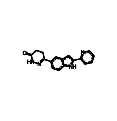 O=C1CCC(c2ccc3[nH]c(-c4ccccn4)cc3c2)=NN1